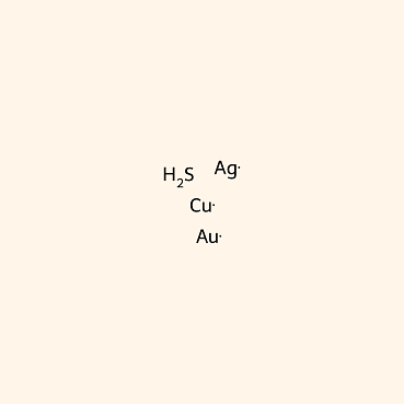 S.[Ag].[Au].[Cu]